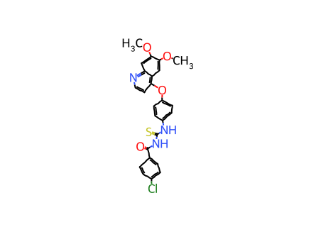 COc1cc2nccc(Oc3ccc(NC(=S)NC(=O)c4ccc(Cl)cc4)cc3)c2cc1OC